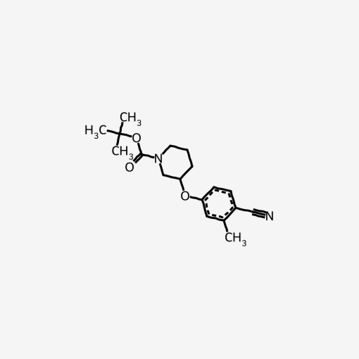 Cc1cc(OC2CCCN(C(=O)OC(C)(C)C)C2)ccc1C#N